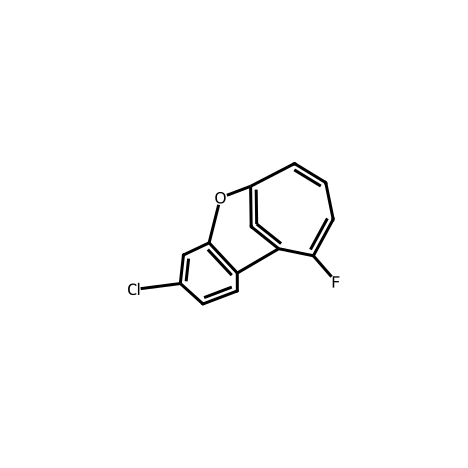 FC1=CC=CC2=C=C1c1ccc(Cl)cc1O2